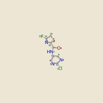 O=C(Nc1cnc(Cl)nc1)c1nc(F)cs1